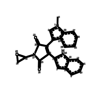 Cn1cc(C2=C(c3cc4ccccc4[nH]3)C(=O)N(C3CO3)C2=O)c2ccccc21